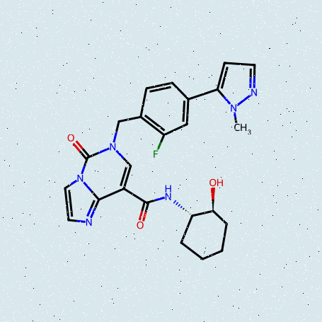 Cn1nccc1-c1ccc(Cn2cc(C(=O)N[C@H]3CCCC[C@@H]3O)c3nccn3c2=O)c(F)c1